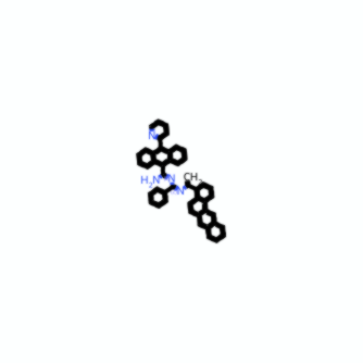 C=C(/N=C(\N=C(/N)c1c2ccccc2c(-c2ccccn2)c2ccccc12)c1ccccc1)c1cccc2c1ccc1cc3ccccc3cc12